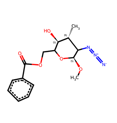 CO[C@H]1OC(COC(=O)c2ccccc2)[C@@H](O)[C@H](C)C1N=[N+]=[N-]